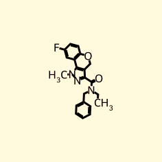 CCN(Cc1ccccc1)C(=O)c1nn(C)c2c1COc1ccc(F)cc1-2